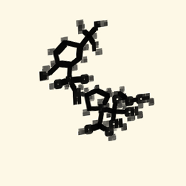 COC[C@H]1C[C@@H](NS(=O)(=O)c2cc(C(F)(F)F)ccc2Br)C[N+]1(C(=O)[O-])C(C)(C)C